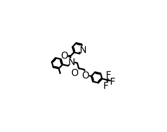 Cc1ccccc1CN(CC(=O)COc1ccc(C(F)(F)F)cc1)C(=O)c1cccnc1